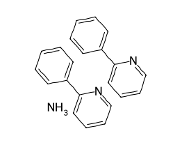 N.c1ccc(-c2ccccn2)cc1.c1ccc(-c2ccccn2)cc1